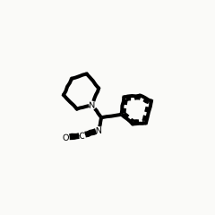 O=C=NC(c1ccccc1)N1CCCCC1